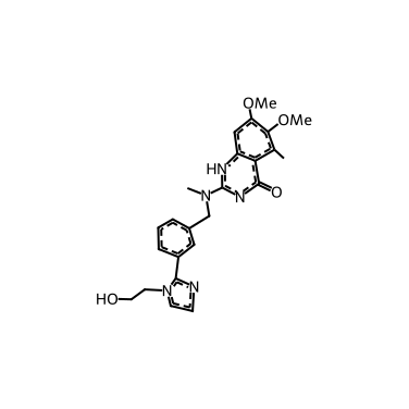 COc1cc2[nH]c(N(C)Cc3cccc(-c4nccn4CCO)c3)nc(=O)c2c(C)c1OC